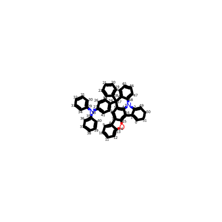 C1=c2c(n3c4c(cc5c6ccccc6oc5c24)C(c2ccccc2)(c2ccc(N(c4ccccc4)c4ccccc4)cc2)c2ccccc2-3)=CCC1